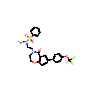 CN(CCN1CCOc2ccc(-c3ccc(OC(F)(F)F)cc3)cc2C1=O)S(=O)(=O)c1ccccc1